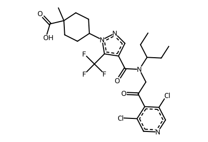 CCC(CC)N(CC(=O)c1c(Cl)cncc1Cl)C(=O)c1cnn(C2CCC(C)(C(=O)O)CC2)c1C(F)(F)F